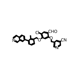 Cc1c(COc2cc(OCc3cncc(C#N)c3)c(C=O)cc2Cl)cccc1-c1ccc2ccncc2c1